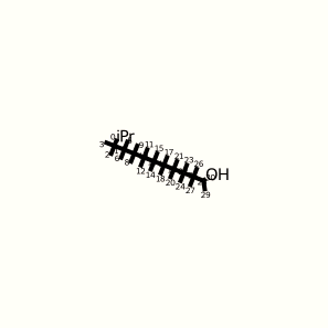 CC(C)C(C)(C)C(C)(C)C(C)(C)C(C)(C)C(C)(C)C(C)(C)C(C)(C)C(C)(C)C(C)(C)C(C)O